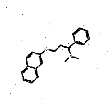 CN(C)C(CCOc1ccc2ccccc2c1)c1ccccc1